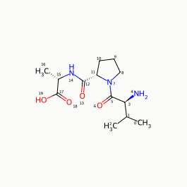 CC(C)[C@H](N)C(=O)N1CCC[C@H]1C(=O)N[C@@H](C)C(=O)O